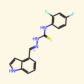 Fc1ccc(NC(=S)N/N=C/c2cccc3[nH]ccc23)c(F)c1